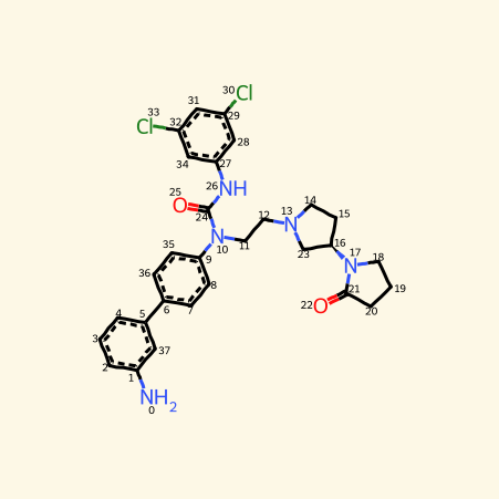 Nc1cccc(-c2ccc(N(CCN3CC[C@@H](N4CCCC4=O)C3)C(=O)Nc3cc(Cl)cc(Cl)c3)cc2)c1